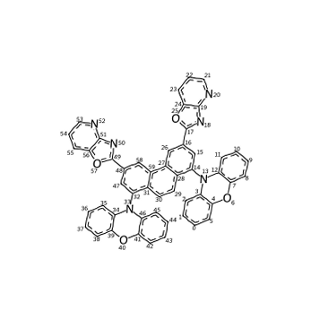 c1ccc2c(c1)Oc1ccccc1N2c1cc(-c2nc3ncccc3o2)cc2c1ccc1c(N3c4ccccc4Oc4ccccc43)cc(-c3nc4ncccc4o3)cc12